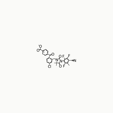 COC(=O)c1ccc(C(=O)c2ccc(Cl)cc2CN2C(=O)N(c3c(F)c(C)c(C#N)c(F)c3F)C(=O)C2(C)C)cc1